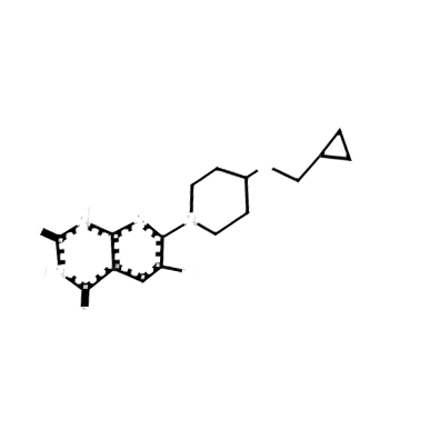 Cc1cc2c(=O)[nH]c(=O)[nH]c2nc1N1CCC(OCC2CC2)CC1